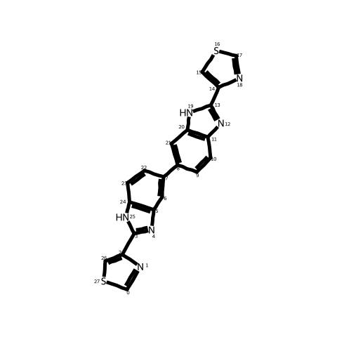 c1nc(-c2nc3cc(-c4ccc5nc(-c6cscn6)[nH]c5c4)ccc3[nH]2)cs1